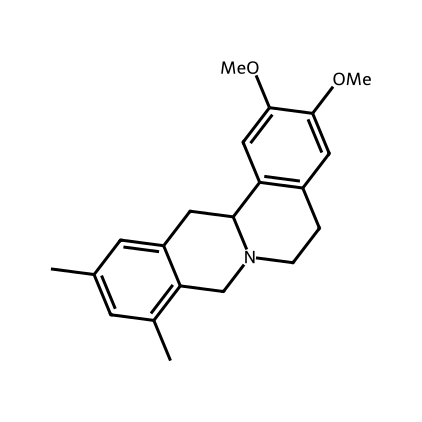 COc1cc2c(cc1OC)C1Cc3cc(C)cc(C)c3CN1CC2